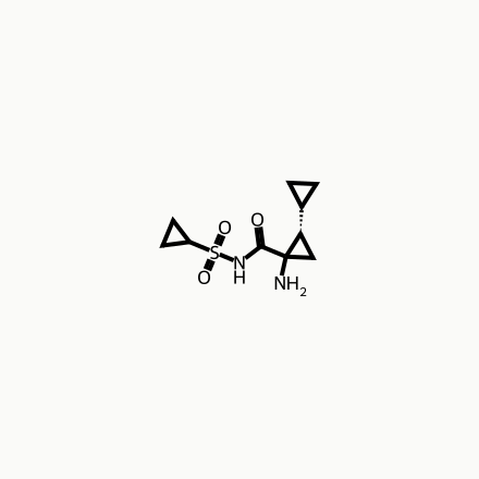 NC1(C(=O)NS(=O)(=O)C2CC2)C[C@H]1C1CC1